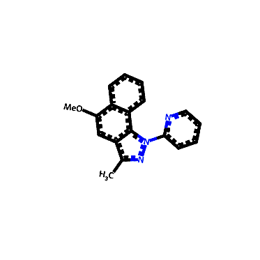 COc1cc2c(C)nn(-c3ccccn3)c2c2ccccc12